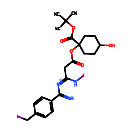 N#CC(C#N)(C#N)OC(=O)C1(OC(=O)C/C(=N/C(=N)c2ccc(CI)cc2)NI)CCC(O)CC1